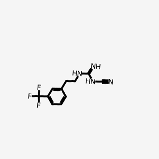 N#CNC(=N)NCCc1cccc(C(F)(F)F)c1